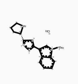 CCCCCCCCCCn1cc(-c2noc([C@@H]3CCCN3)n2)c2ccccc21.Cl